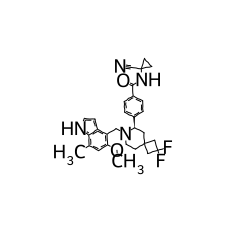 COc1cc(C)c2[nH]ccc2c1CN1CCC2(C[C@@H]1c1ccc(C(=O)NC3(C#N)CC3)cc1)CC(F)(F)C2